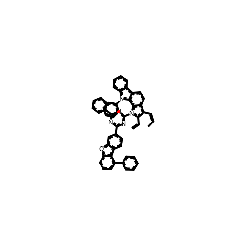 C=Cc1c(/C=C\C)c2ccc3c4ccccc4n(-c4ccccc4)c3c2n1-c1nc(-c2ccccc2)nc(-c2ccc3c(c2)oc2cccc(-c4ccccc4)c23)n1